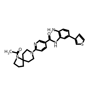 CC(=O)N1CCCC12CCN(c1ccc(C(=O)Nc3cc(-c4ccsc4)ccc3N)cn1)CC2